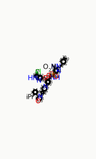 CC(C)c1ccccc1[C@H]1COCCN1C1CC2(CCN(c3ccc(C(=O)NS(=O)(=O)c4cnc(NCC5CCC(C)(C)CC5)c([N+](=O)[O-])c4)c(Oc4cnc5[nH]cc(Cl)c5c4)c3)CC2)C1